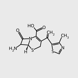 C=C(C1=C(C(=O)O)N2C(=O)C(N)[C@H]2SC1)c1scnc1C